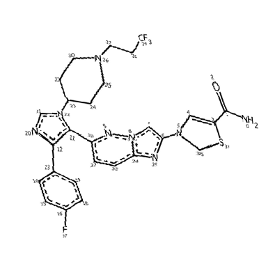 NC(=O)C1=CN(c2cn3nc(-c4c(-c5ccc(F)cc5)ncn4C4CCN(CCC(F)(F)F)CC4)ccc3n2)CS1